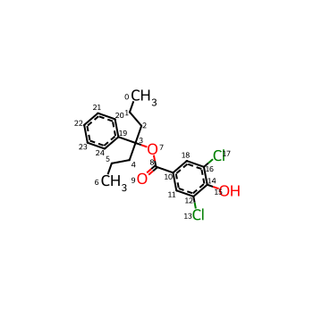 CCCC(CCC)(OC(=O)c1cc(Cl)c(O)c(Cl)c1)c1ccccc1